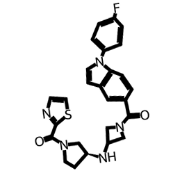 O=C(c1ccc2c(ccn2-c2ccc(F)cc2)c1)N1CC(N[C@H]2CCN(C(=O)c3nccs3)C2)C1